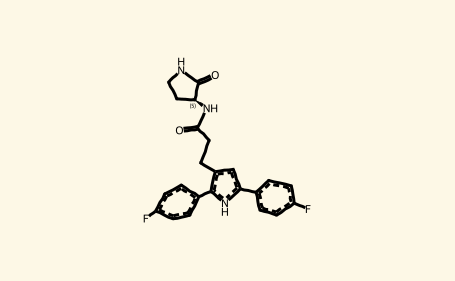 O=C(CCc1cc(-c2ccc(F)cc2)[nH]c1-c1ccc(F)cc1)N[C@H]1CCNC1=O